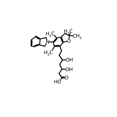 Cc1c(CCC(O)CC(O)CC(=O)O)c2c(c(C)c1N1Cc3ccccc3C1)CC(C)(C)O2